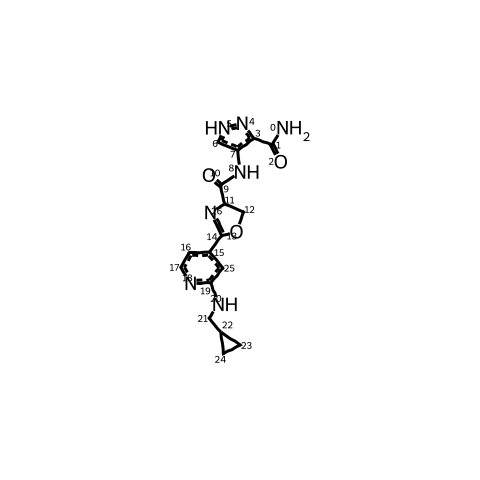 NC(=O)c1n[nH]cc1NC(=O)C1COC(c2ccnc(NCC3CC3)c2)=N1